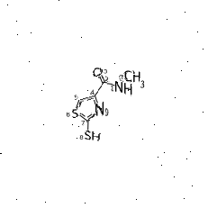 CNC(=O)c1csc(S)n1